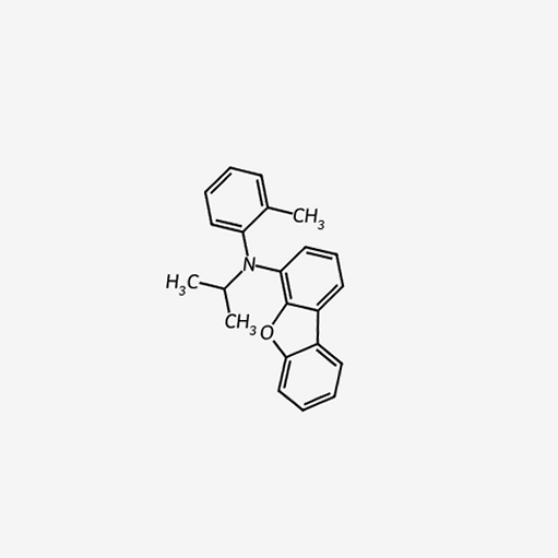 Cc1ccccc1N(c1cccc2c1oc1ccccc12)C(C)C